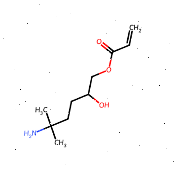 C=CC(=O)OCC(O)CCC(C)(C)N